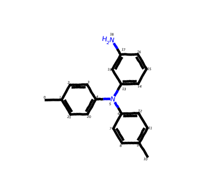 Cc1ccc(N(c2ccc(C)cc2)c2cccc(N)c2)cc1